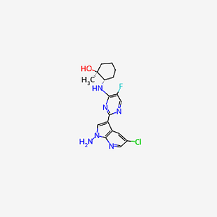 C[C@]1(O)CCCC[C@@H]1Nc1nc(-c2cn(N)c3ncc(Cl)cc23)ncc1F